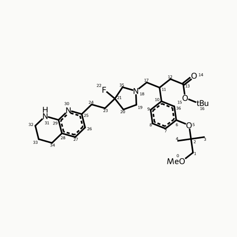 COCC(C)(C)Oc1cccc(C(CC(=O)OC(C)(C)C)CN2CCC(F)(CCc3ccc4c(n3)NCCC4)C2)c1